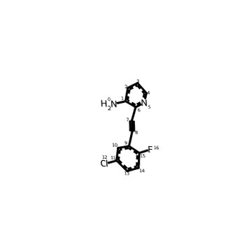 Nc1cccnc1C#Cc1cc(Cl)ccc1F